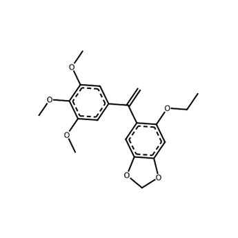 C=C(c1cc(OC)c(OC)c(OC)c1)c1cc2c(cc1OCC)OCO2